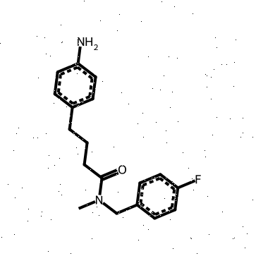 CN(Cc1ccc(F)cc1)C(=O)CCCc1ccc(N)cc1